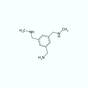 CNCc1cc(CN)cc(CNC)c1